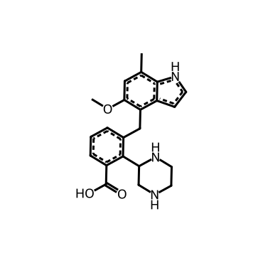 COc1cc(C)c2[nH]ccc2c1Cc1cccc(C(=O)O)c1C1CNCCN1